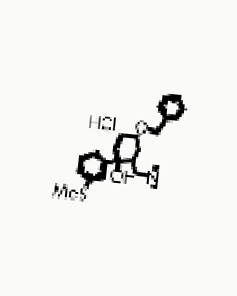 CSc1cccc(C2(O)CCC(OCc3ccccc3)CC2CN(C)C)c1.Cl